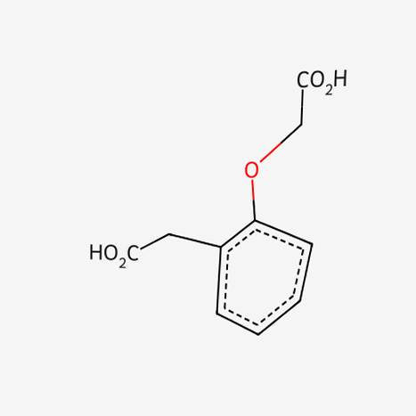 O=C(O)COc1ccccc1CC(=O)O